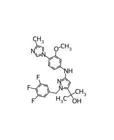 COc1cc(Nc2cc(C(C)(C)O)n(Cc3cc(F)c(F)c(F)c3)n2)ccc1-n1cnc(C)c1